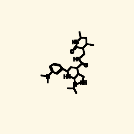 CC1CC(C)C(CNC(=O)C2CC(c3cccc(N(C)C)c3)NC3C2CNN3C(C)C)C(=O)N1